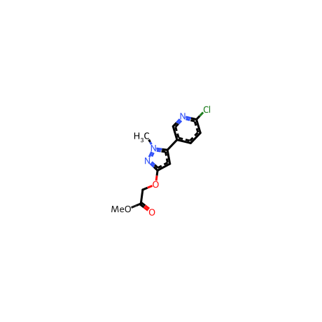 COC(=O)COc1cc(-c2ccc(Cl)nc2)n(C)n1